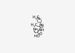 CCc1c(Nc2cnccc2C(=O)O)cnn1C1CCN(C)CC1